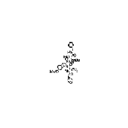 CCCCC(NC(=O)[C@H](Cc1ccc(OC)cc1)NC(=O)[C@H](C)NC(=O)CN1CCOCC1)[C@H](O)C(=O)NCc1ccccc1